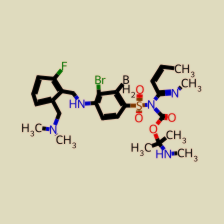 Bc1c(S(=O)(=O)N(C(=O)OC(C)(C)NC)C(/C=C\C)=N/C)ccc(NCc2c(F)cccc2CN(C)C)c1Br